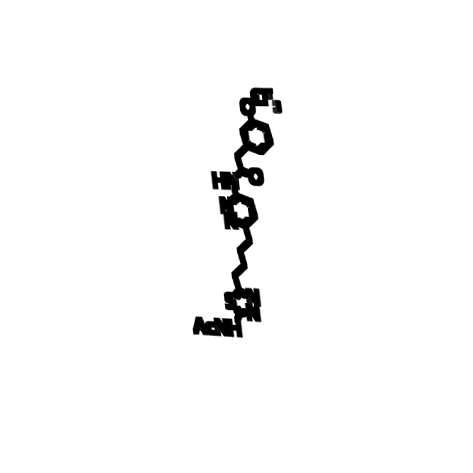 CC(=O)Nc1nnc(CCCCc2ccc(NC(=O)Cc3cccc(OC(F)(F)F)c3)nn2)s1